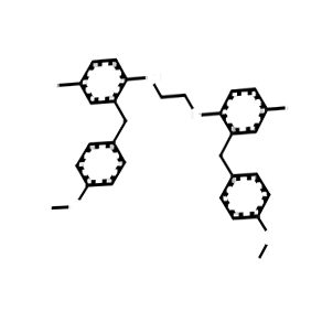 COc1ccc(Cc2cc(Cl)ccc2PCCPc2ccc(Cl)cc2Cc2ccc(OC)cc2)cc1